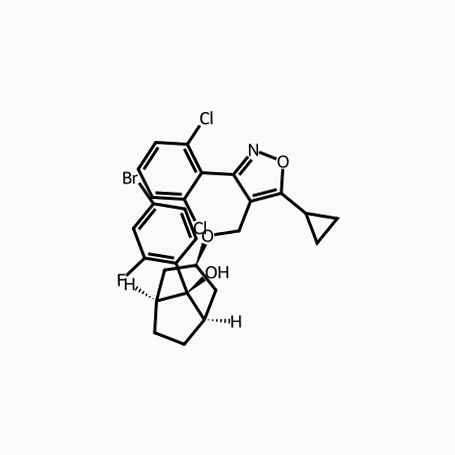 O[C@@]1(c2ccc(Br)cc2F)[C@@H]2CC[C@H]1C[C@@H](OCc1c(-c3c(Cl)cccc3Cl)noc1C1CC1)C2